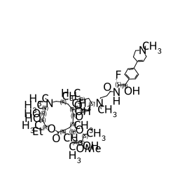 CC[C@H]1OC(=O)[C@H](C)C([C@H]2C[C@@](C)(OC)[C@@H](O)[C@H](C)O2)[C@H](C)[C@@H](O[C@H]2C[C@@H](N(C)CCC(=O)N[C@H](CF)[C@H](O)c3ccc(C4=CCN(C)CC4)cc3)C[C@@H](C)O2)[C@](C)(O)C[C@@H](C)CN(C)[C@H](C)[C@@H](O)[C@]1(C)O